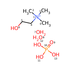 C[N+](C)(C)CCO.O.O.O=P(O)(O)O